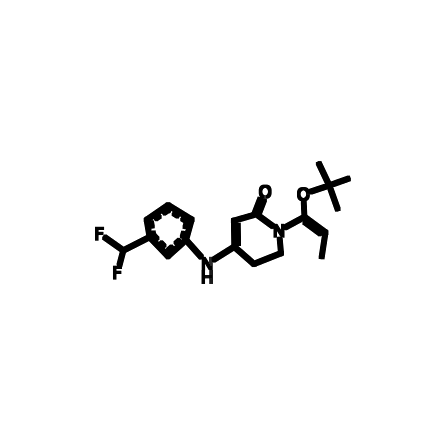 C/C=C(/OC(C)(C)C)N1CCC(Nc2cccc(C(F)F)c2)=CC1=O